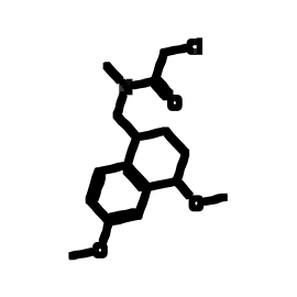 COc1ccc2c(c1)C(OC)CCC2CN(C)C(=O)CCl